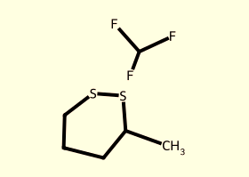 CC1CCCSS1.FC(F)F